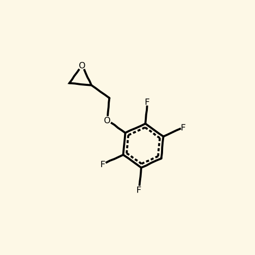 Fc1cc(F)c(F)c(OCC2CO2)c1F